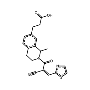 CC1c2cc(CCC(=O)O)ccc2CCN1C(=O)/C(C#N)=C\c1nccs1